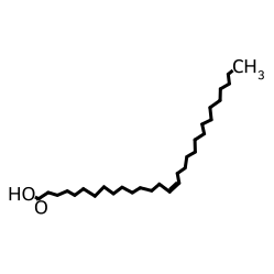 CCCCCCCCCCCCCC/C=C\CCCCCCCCCCCCCC(=O)O